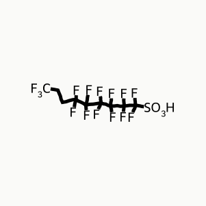 O=S(=O)(O)C(F)(F)C(F)(F)C(F)(F)C(F)(F)C(F)(F)C(F)(F)CCC(F)(F)F